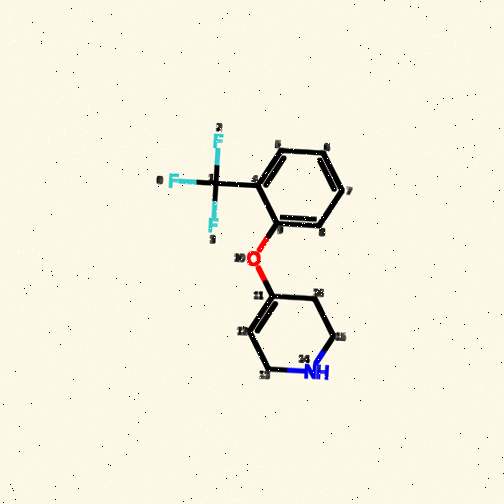 FC(F)(F)c1ccccc1OC1=CCNCC1